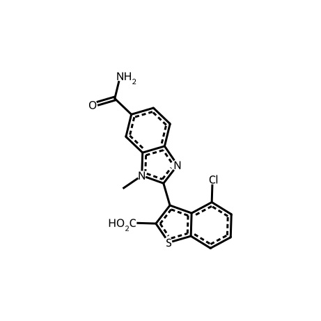 Cn1c(-c2c(C(=O)O)sc3cccc(Cl)c23)nc2ccc(C(N)=O)cc21